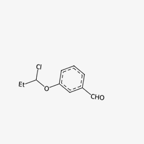 CCC(Cl)Oc1cccc(C=O)c1